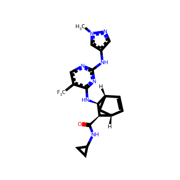 Cn1cc(Nc2ncc(C(F)(F)F)c(N[C@@H]3[C@H](C(=O)NC4CC4)[C@H]4C=C[C@@H]3C4)n2)cn1